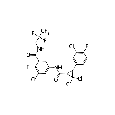 O=C(NCC(F)(F)C(F)(F)F)c1cc(NC(=O)C2C(c3ccc(F)c(Cl)c3)C2(Cl)Cl)cc(Cl)c1F